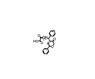 CC(c1ccncc1)N1N=C(c2ccccc2)OCC1=O.O=C(O)C(=O)O